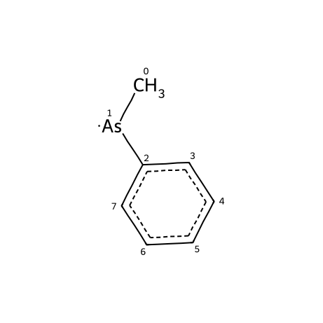 C[As]c1ccccc1